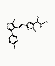 Cc1onc(-c2ccc(F)cc2)c1/C=C/c1cc(C(=O)NC(C)C)n(C)n1